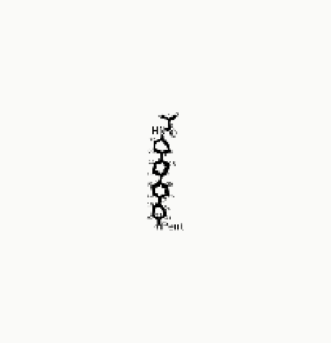 C=C(C)C(=O)NC1CCC(c2ccc(-c3ccc(C4CCC(CCCCC)CC4)cc3)cc2)CC1